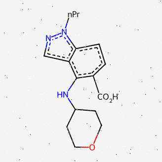 CCCn1ncc2c(NC3CCOCC3)c(C(=O)O)ccc21